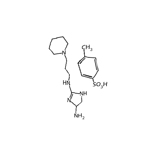 Cc1ccc(S(=O)(=O)O)cc1.NC1CNC(NCCCN2CCCCC2)=N1